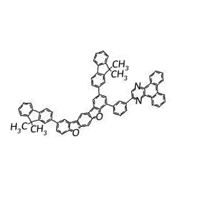 CC1(C)c2ccccc2-c2ccc(-c3ccc4oc5cc6oc7c(-c8cccc(-c9cnc%10c%11ccccc%11c%11ccccc%11c%10n9)c8)cc(-c8ccc9c(c8)C(C)(C)c8ccccc8-9)cc7c6cc5c4c3)cc21